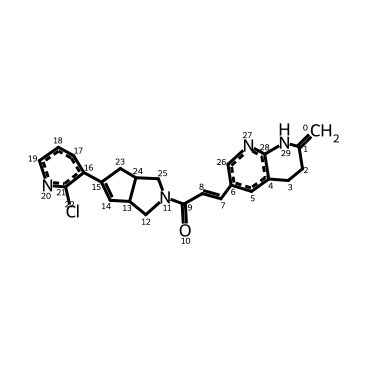 C=C1CCc2cc(/C=C/C(=O)N3CC4C=C(c5cccnc5Cl)CC4C3)cnc2N1